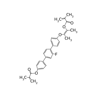 C=C(C)C(=O)O/C(C)=C(/C)Oc1ccc(-c2ccc(-c3ccc(OC(=O)C(=C)C)cc3)cc2F)cc1